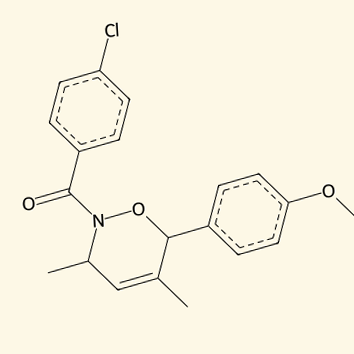 COc1ccc(C2ON(C(=O)c3ccc(Cl)cc3)C(C)C=C2C)cc1